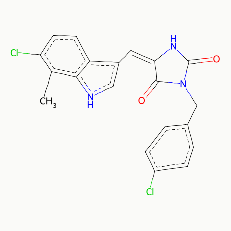 Cc1c(Cl)ccc2c(C=C3NC(=O)N(Cc4ccc(Cl)cc4)C3=O)c[nH]c12